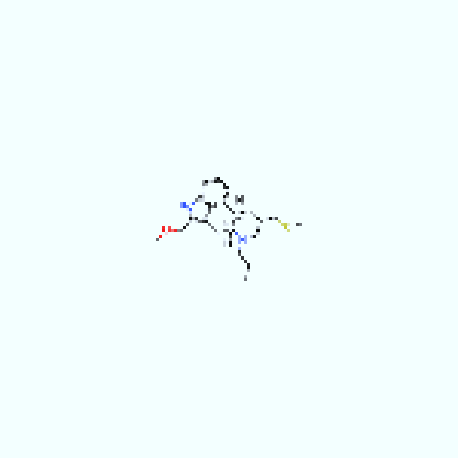 CCCN1CC(CSC)C[C@@H]2c3cccc4[nH]c(COC)c(c34)C[C@H]21